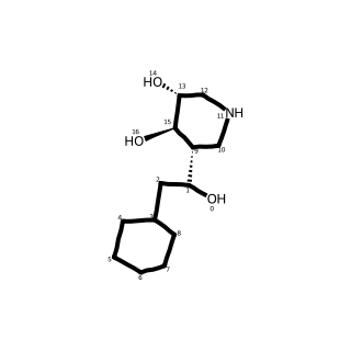 OC(CC1CCCCC1)[C@H]1CNC[C@@H](O)[C@@H]1O